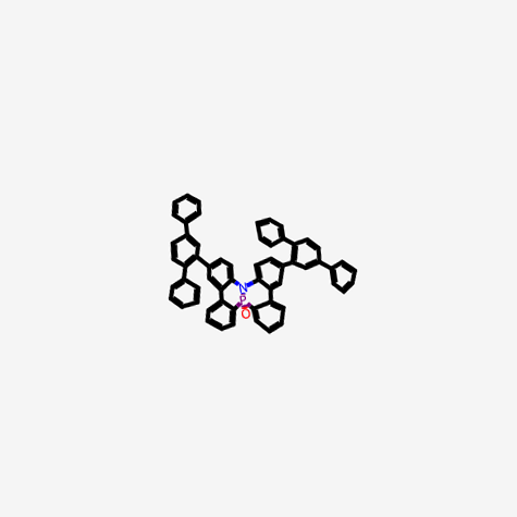 O=P12c3ccccc3-c3cc(-c4cc(-c5ccccc5)ccc4-c4ccccc4)ccc3N1c1ccc(-c3cc(-c4ccccc4)ccc3-c3ccccc3)cc1-c1ccccc12